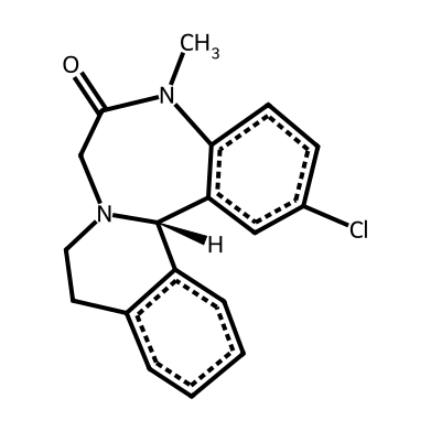 CN1C(=O)CN2CCc3ccccc3[C@H]2c2cc(Cl)ccc21